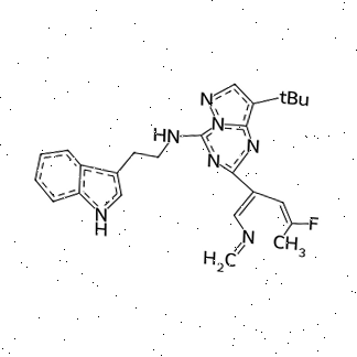 C=N/C=C(\C=C(/C)F)c1nc(NCCc2c[nH]c3ccccc23)n2ncc(C(C)(C)C)c2n1